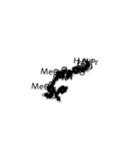 C=CC[C@@H]1C(N2CCN(C)CC2)N1c1cc(OCCCOc2cc3c(cc2OC)C(=O)N2C=C(c4ccc(NC(=O)[C@H](C)NC(=O)[C@@H](N)C(C)C)cc4)C[C@H]2C=N3)c(OC)cc1C(=O)N(C)C=C